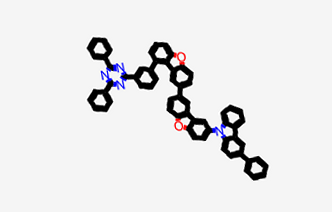 c1ccc(-c2ccc3c(c2)c2ccccc2n3-c2ccc3oc4ccc(-c5ccc6oc7cccc(-c8cccc(-c9nc(-c%10ccccc%10)nc(-c%10ccccc%10)n9)c8)c7c6c5)cc4c3c2)cc1